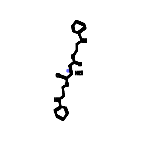 Cl.O=C(/C=C/C(=O)OCCNc1ccccc1)OCCNc1ccccc1